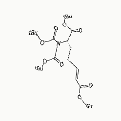 CC(C)OC(=O)/C=C/CC[C@@H](C(=O)OC(C)(C)C)N(C(=O)OC(C)(C)C)C(=O)OC(C)(C)C